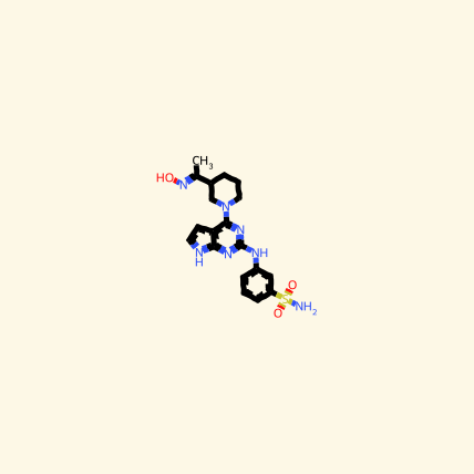 CC(=NO)C1CCCN(c2nc(Nc3cccc(S(N)(=O)=O)c3)nc3[nH]ccc23)C1